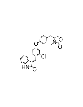 CN1C(=O)OCC1Cc1ccc(Oc2ccc(/C=C3/C(=O)Nc4ccccc43)c(Cl)c2)cc1